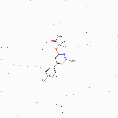 COC(=O)C1(Oc2cc(-c3ccc(C(F)(F)F)cc3)nc(SC)n2)CC1